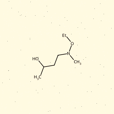 CCON(C)CCC(C)O